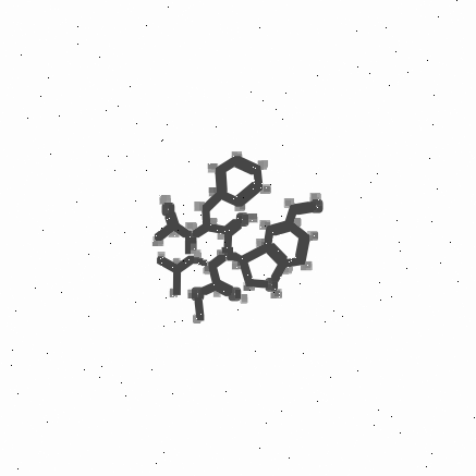 COC(=O)[C@H](CC(C)C)N(C(=O)C(Cc1ccccc1)NC(C)=O)[C@@H]1COc2ccc(C=O)cc21